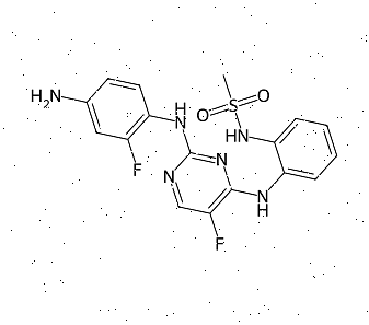 CS(=O)(=O)Nc1ccccc1Nc1nc(Nc2ccc(N)cc2F)ncc1F